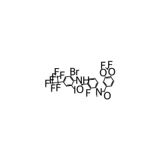 CN(C(=O)c1ccc2c(c1)OC(F)(F)O2)c1cccc(C(=O)Nc2c(Br)cc(C(F)(C(F)(F)F)C(F)(F)F)cc2I)c1F